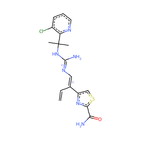 C=C/C(=C\N=C(/N)NC(C)(C)c1ncccc1Cl)c1csc(C(N)=O)n1